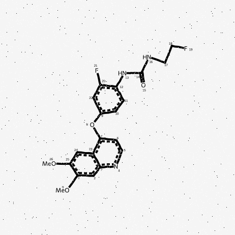 COc1cc2nccc(Oc3ccc(NC(=O)NCCF)c(F)c3)c2cc1OC